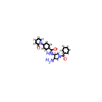 NC1CN(C(=O)c2ccccc2)CC1NC(=O)c1ccc(-n2ccccc2=O)cc1